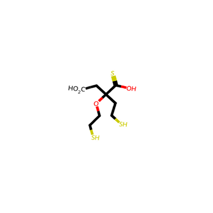 O=C(O)CC(CCS)(OCCS)C(O)=S